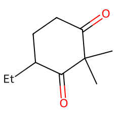 CCC1CCC(=O)C(C)(C)C1=O